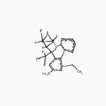 CCc1[c]c(C)cc(C(F)(C(F)(F)F)C(F)(F)C(F)(F)F)c1-c1ccccc1OC(F)(F)F